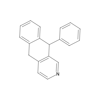 c1ccc(C2c3ccccc3Cc3ccncc32)cc1